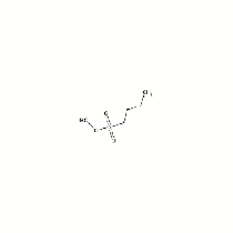 CCCCS(=O)(=O)OO